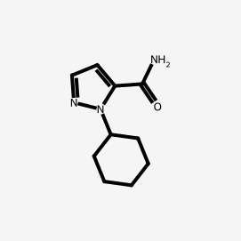 NC(=O)c1ccnn1C1CCCCC1